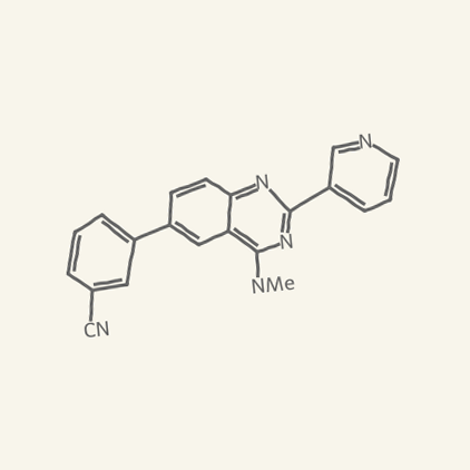 CNc1nc(-c2cccnc2)nc2ccc(-c3cccc(C#N)c3)cc12